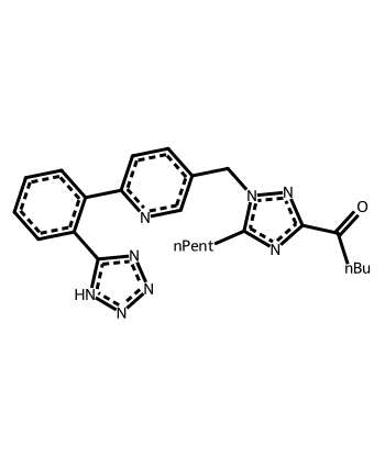 CCCCCc1nc(C(=O)CCCC)nn1Cc1ccc(-c2ccccc2-c2nnn[nH]2)nc1